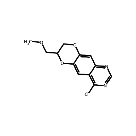 COCC1COc2cc3ncnc(Cl)c3cc2O1